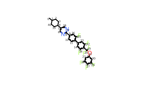 CC1CCC(c2cnc(-c3ccc(-c4cc(F)c(C(F)(F)Oc5cc(F)c(F)c(F)c5)c(F)c4)c(F)c3)nc2)CC1